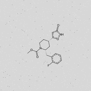 COC(=O)N1CC[C@H](c2cc(=O)[nH]o2)C[C@@H]1Cc1ccccc1F